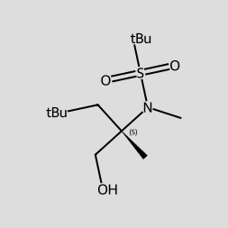 CN([C@](C)(CO)CC(C)(C)C)S(=O)(=O)C(C)(C)C